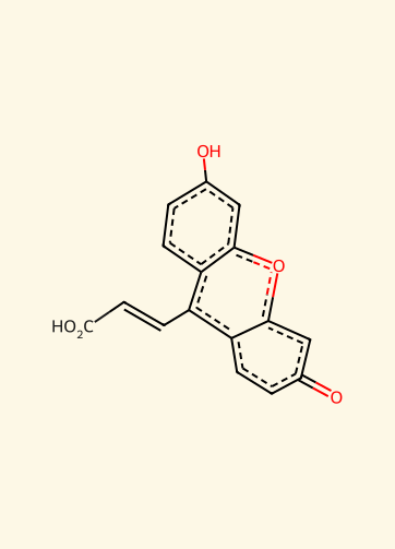 O=C(O)C=Cc1c2ccc(=O)cc-2oc2cc(O)ccc12